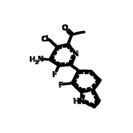 CC(=O)c1nc(-c2ccc3cc[nH]c3c2F)c(F)c(N)c1Cl